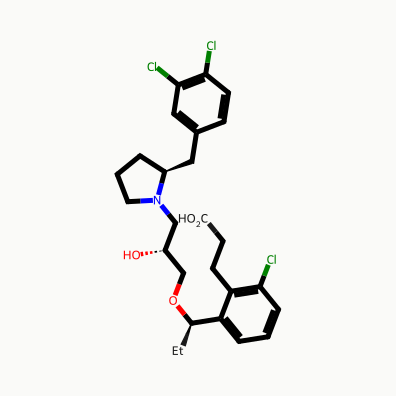 CC[C@@H](OC[C@H](O)CN1CCC[C@H]1Cc1ccc(Cl)c(Cl)c1)c1cccc(Cl)c1CCC(=O)O